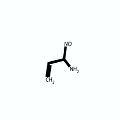 C=CC(N)N=O